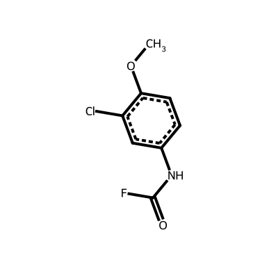 COc1ccc(NC(=O)F)cc1Cl